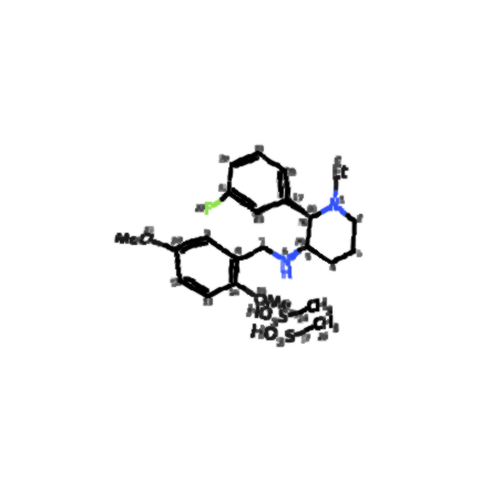 CCN1CCC[C@@H](NCc2cc(OC)ccc2OC)[C@H]1c1cccc(F)c1.CS(=O)(=O)O.CS(=O)(=O)O